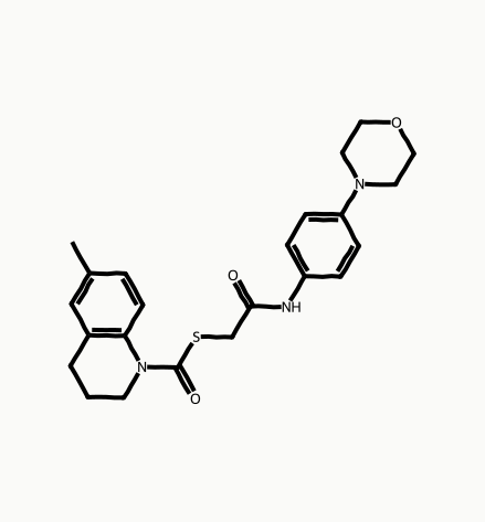 Cc1ccc2c(c1)CCCN2C(=O)SCC(=O)Nc1ccc(N2CCOCC2)cc1